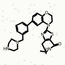 CC1(C)Cc2nc(N3CCOc4ccc(-c5cccc(CN6CCNCC6)c5)cc43)sc2C(=O)N1